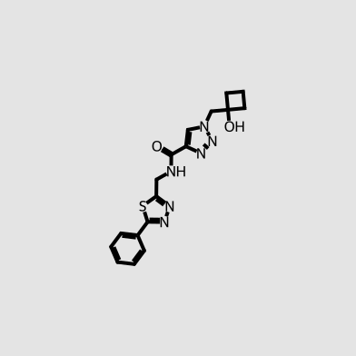 O=C(NCc1nnc(-c2ccccc2)s1)c1cn(CC2(O)CCC2)nn1